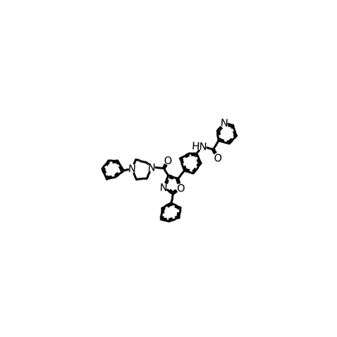 O=C(Nc1ccc(-c2oc(-c3ccccc3)nc2C(=O)N2CCN(c3ccccc3)CC2)cc1)c1cccnc1